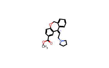 COC(=O)c1ccc2c(c1)/C(=C\CN1CCCC1)c1ccccc1CO2